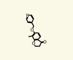 Cc1c(OCc2ccncc2)ccc2c1OCCC2=O